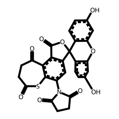 O=C1CCC(=O)c2c(c(N3C(=O)CCC3=O)cc3c2C(=O)OC32c3ccc(O)cc3Oc3cc(O)ccc32)S1